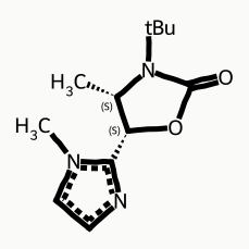 C[C@H]1[C@@H](c2nccn2C)OC(=O)N1C(C)(C)C